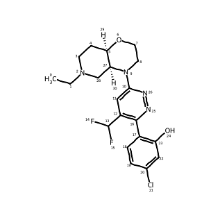 CCN1CC[C@H]2OCCN(c3cc(C(F)F)c(-c4ccc(Cl)cc4O)nn3)[C@H]2C1